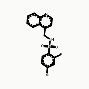 O=S(=O)(NCc1ccnc2ccccc12)c1ccc(Br)cc1F